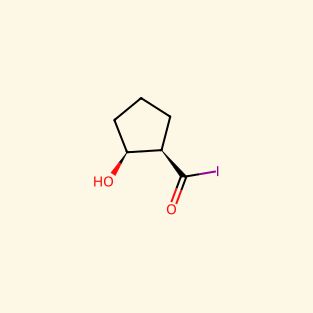 O=C(I)[C@@H]1CCC[C@@H]1O